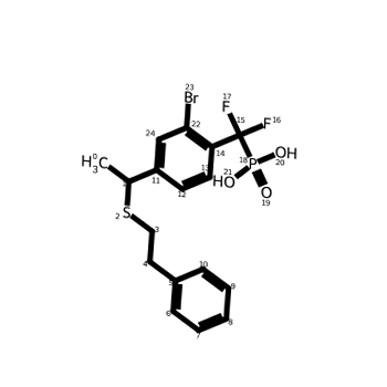 CC(SCCc1ccccc1)c1ccc(C(F)(F)P(=O)(O)O)c(Br)c1